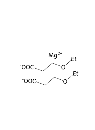 CCOCCC(=O)[O-].CCOCCC(=O)[O-].[Mg+2]